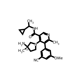 COc1cc(C#N)cc(-c2c(C)ncc(C(=O)NC(C)C3CC3)c2N2CC[C@](C)(N)C2)c1